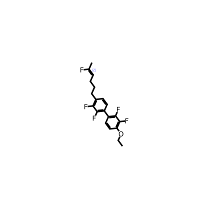 CCOc1ccc(-c2ccc(CCC/C=C(/C)F)c(F)c2F)c(F)c1F